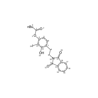 CCCCC(=O)Oc1ccc(CCN2C(=O)c3ccccc3C2=O)c(O)c1I